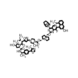 CCc1cccc2cc(O)cc(-c3ncc4c(N5CC6CCC(C5)N6)nc(OC[C@]56CCCN5[C@H](COC(=O)N5CCN(c7cc([C@H](C(=O)N8C[C@H](O)C[C@H]8C(=O)N[C@@H](C)c8ccc(-c9scnc9C)cc8)C(C)C)on7)C[C@H]5C)CC6)nc4c3F)c12